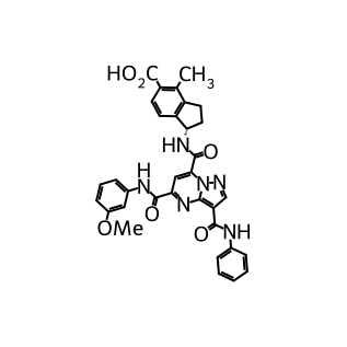 COc1cccc(NC(=O)c2cc(C(=O)N[C@H]3CCc4c3ccc(C(=O)O)c4C)n3ncc(C(=O)Nc4ccccc4)c3n2)c1